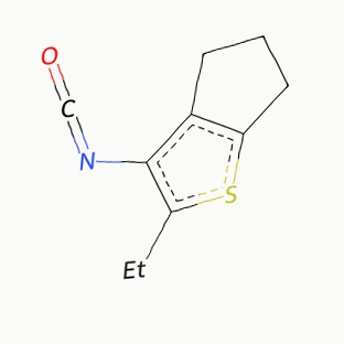 CCc1sc2c(c1N=C=O)CCC2